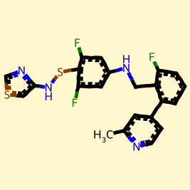 Cc1cc(-c2cccc(F)c2CNc2cc(F)c(SNc3cscn3)c(F)c2)ccn1